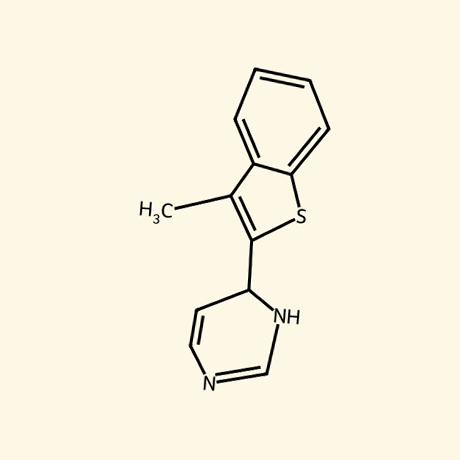 Cc1c(C2C=CN=CN2)sc2ccccc12